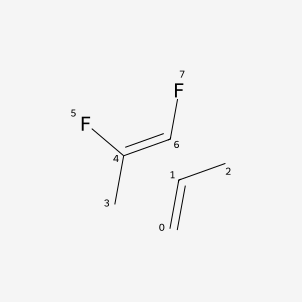 C=CC.CC(F)=CF